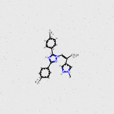 Cn1cc(C(=Cn2nc(-c3ccc(C(F)(F)F)cc3)nc2-c2ccc(C(F)(F)F)cc2)C(=O)O)cn1